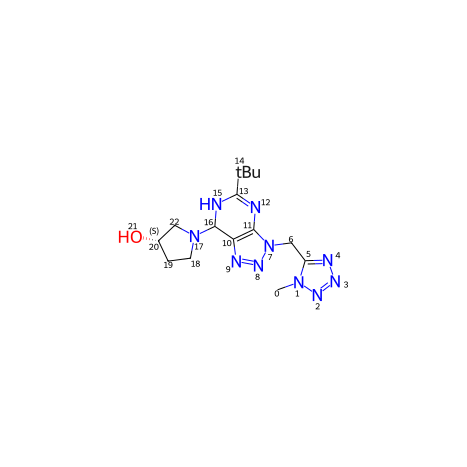 Cn1nnnc1Cn1nnc2c1N=C(C(C)(C)C)NC2N1CC[C@H](O)C1